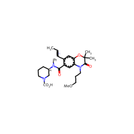 C/C=C/c1cc2c(cc1C(=O)N(C(C)C)[C@@H]1CCCN(C(=O)O)C1)N(CCCOC)C(=O)C(C)(C)O2